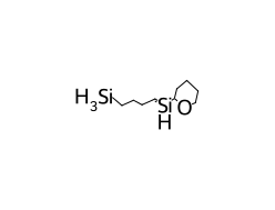 [SiH3]CCCC=[SiH]C1CCCCO1